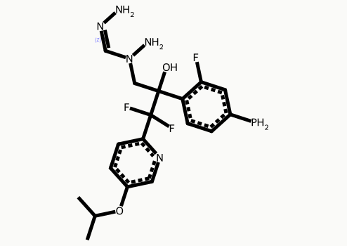 CC(C)Oc1ccc(C(F)(F)C(O)(CN(N)/C=N\N)c2ccc(P)cc2F)nc1